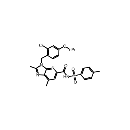 CCCOc1ccc(Cn2c(C)nc3c(C)cc(C(=O)NS(=O)(=O)c4ccc(C)cc4)nc32)c(Cl)c1